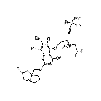 CC(C)[Si](C#C[C@@H](COc1c(Cl)c(Br)c(F)c2nc(OC[C@@]34CCCN3C[C@H](F)C4)nc(O)c12)NCC(F)F)(C(C)C)C(C)C